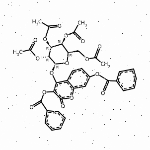 CC(=O)OC[C@H]1O[C@@H](Oc2c(OC(=O)c3ccccc3)c(=O)oc3cc(OC(=O)c4ccccc4)ccc23)[C@H](OC(C)=O)[C@@H](OC(C)=O)[C@H]1OC(C)=O